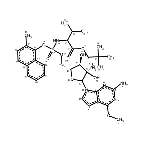 COc1nc(N)nc2c1ncn2C1O[C@H](COP(=O)(N[C@H](C(=O)OCC(C)(C)C)C(C)C)Oc2c(C)ccc3ccccc23)[C@@H](O)[C@@]1(C)O